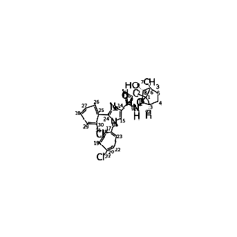 CC1(C)[C@H]2CC[C@@]1(C)[C@@H](O)[C@@H]2NC(=O)c1cn(-c2ccc(Cl)cc2)c(-c2ccccc2Cl)n1